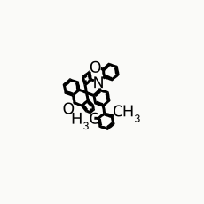 Cc1cccc(C)c1-c1ccc2c(c1)C1(c3ccccc3C(=O)c3ccccc31)c1cccc3c1N2c1ccccc1O3